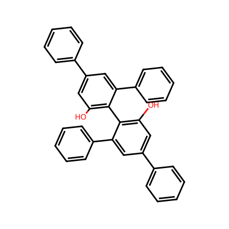 Oc1cc(-c2ccccc2)cc(-c2ccccc2)c1-c1c(O)cc(-c2ccccc2)cc1-c1ccccc1